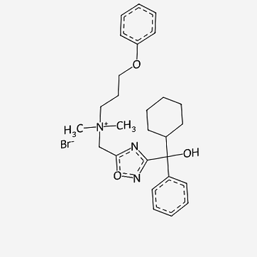 C[N+](C)(CCCOc1ccccc1)Cc1nc(C(O)(c2ccccc2)C2CCCCC2)no1.[Br-]